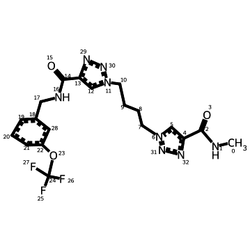 CNC(=O)c1cn(CCCCn2cc(C(=O)NCc3cccc(OC(F)(F)F)c3)nn2)nn1